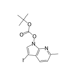 Cc1ccc2c(I)cn(OC(=O)OC(C)(C)C)c2n1